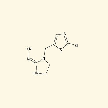 N#CN=C1NCCN1Cc1cnc(Cl)s1